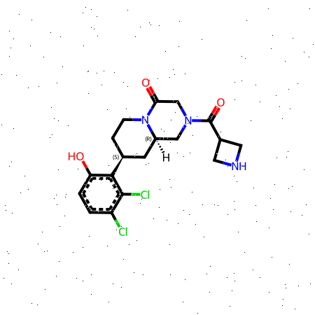 O=C(C1CNC1)N1CC(=O)N2CC[C@H](c3c(O)ccc(Cl)c3Cl)C[C@@H]2C1